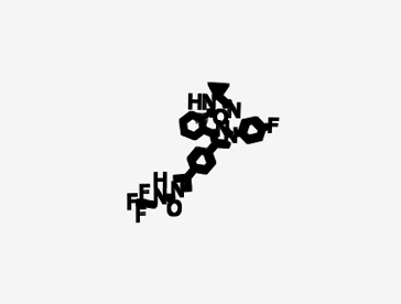 N#CC1(NC(=O)[C@@H]2CCCCC2c2nn(-c3ccc(F)cc3)cc2-c2ccc(C3CN(C(=O)NCC(F)(F)F)C3)cc2)CC1